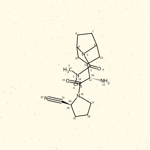 CN(C)C(=O)N1C2CCC1CC([C@H](N)C(=O)N1CCC[C@H]1C#N)C2